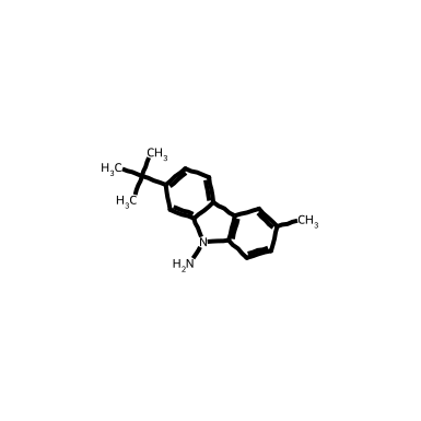 Cc1ccc2c(c1)c1ccc(C(C)(C)C)cc1n2N